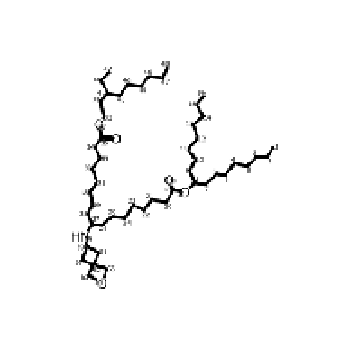 CCCCCCCCC(CCCCCCCC)OC(=O)CCCCCCCC(CCCCCCCC(=O)OCCC(CC)CCCCCC)NC1CC2(COC2)C1